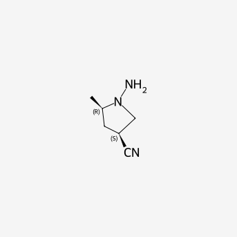 C[C@@H]1C[C@H](C#N)CN1N